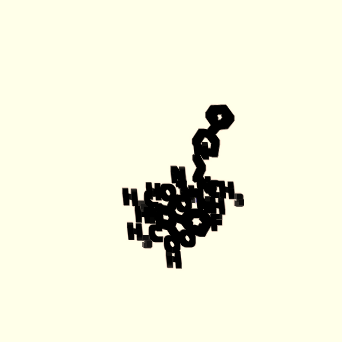 CC1=C(C(=O)O)C(c2ccc(F)c(N/C(=N/C#N)N(C)CCCN3CCC(c4ccccc4)CC3)c2)C(C(=O)O)=C(C)N1